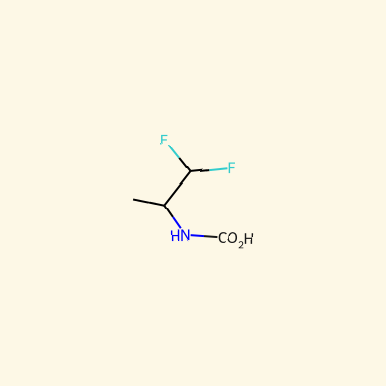 CC(NC(=O)O)C(F)F